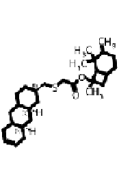 CC1CCC2CC(C)(OC(=O)CSC[C@@H]3CCC4CC5CC=CC[C@@H]5C[C@@H]4C3)C2C1(C)C